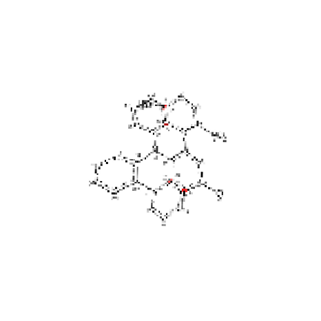 CC(C)(C)c1ccc([N+](=O)[O-])c(-c2cc(Cl)ccc2N(c2ccccc2)c2ccccc2-c2ccccc2)c1